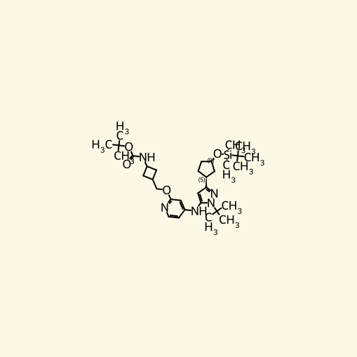 CC(C)(C)OC(=O)NC1CC(COc2cc(Nc3cc([C@H]4CC[C@@H](O[Si](C)(C)C(C)(C)C)C4)nn3C(C)(C)C)ccn2)C1